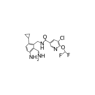 N=Cc1c(N)ccc(C2CC2)c1CNC(=O)c1cnc(OC(F)F)c(Cl)c1